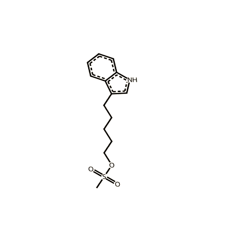 CS(=O)(=O)OCCCCCc1c[nH]c2ccccc12